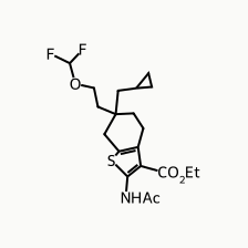 CCOC(=O)c1c(NC(C)=O)sc2c1CCC(CCOC(F)F)(CC1CC1)C2